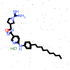 CCCCCCCCCCc1ccc(Nc2ccc(-c3noc(C4CCN(C(=N)N)C4)n3)cn2)cc1.Cl